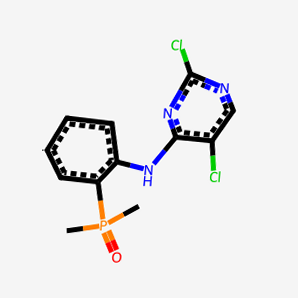 CP(C)(=O)c1c[c]ccc1Nc1nc(Cl)ncc1Cl